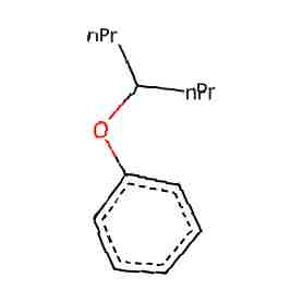 CCCC(CCC)Oc1ccccc1